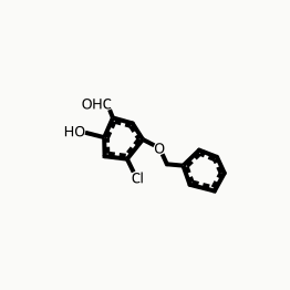 O=Cc1cc(OCc2ccccc2)c(Cl)cc1O